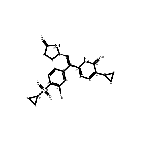 O=C1CC[C@H](/C=C(\c2ccc(S(=O)(=O)C3CC3)c(Cl)c2)c2ccc(C3CC3)c(=O)[nH]2)N1